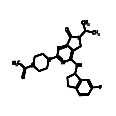 CC(=O)N1CCN(c2nc(NC3CCc4ccc(F)cc43)c3c(n2)C(=O)N(C(C)C)C3)CC1